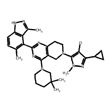 Cc1ccc2[nH]nc(C)c2c1-c1nc2c(c(N3CCCC(C)(C)C3)n1)CN(c1c(Cl)c(C3CC3)nn1C)CC2